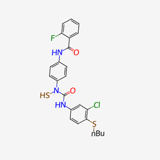 CCCCSc1ccc(NC(=O)N(S)c2ccc(NC(=O)c3ccccc3F)cc2)cc1Cl